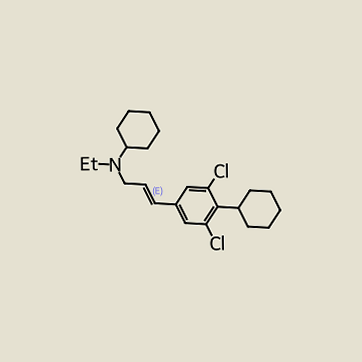 CCN(C/C=C/c1cc(Cl)c(C2CCCCC2)c(Cl)c1)C1CCCCC1